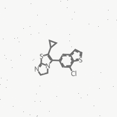 Clc1cc(C2=C(C3CC3)SC3=NCCN32)cc2ccsc12